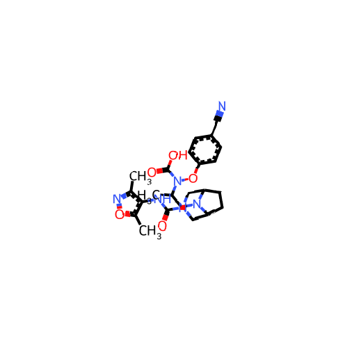 Cc1noc(C)c1NC(=O)N1CC2CCC(C1)N2CC(C)N(Oc1ccc(C#N)cc1)C(=O)O